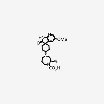 CCC1CN(C2CCC3(CC2)C(=O)Nc2ncc(OC)cc23)CCCN1C(=O)O